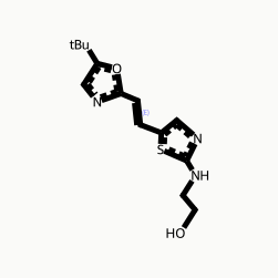 CC(C)(C)c1cnc(/C=C/c2cnc(NCCO)s2)o1